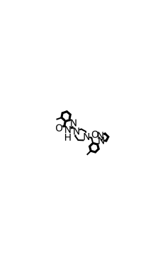 Cc1ccc(-n2cccn2)c(C(=O)N2CCCN(c3nc4cccc(C)c4c(=O)[nH]3)CC2)c1